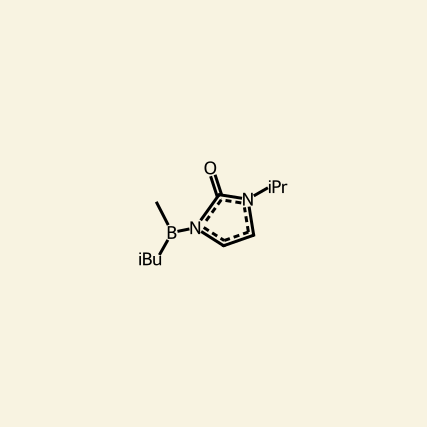 CCC(C)B(C)n1ccn(C(C)C)c1=O